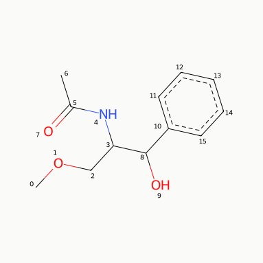 COCC(NC(C)=O)C(O)c1ccccc1